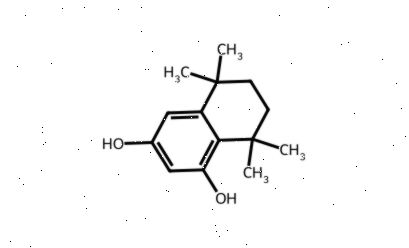 CC1(C)CCC(C)(C)c2c(O)cc(O)cc21